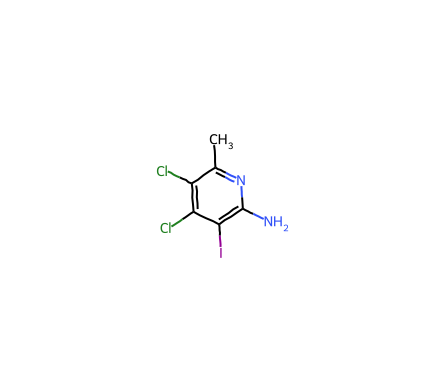 Cc1nc(N)c(I)c(Cl)c1Cl